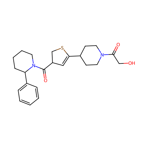 O=C(CO)N1CCC(C2=CC(C(=O)N3CCCCC3c3ccccc3)CS2)CC1